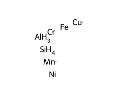 [AlH3].[Cr].[Cu].[Fe].[Mn].[Ni].[SiH4]